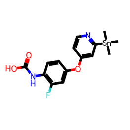 [CH3][Sn]([CH3])([CH3])[c]1cc(Oc2ccc(NC(=O)O)c(F)c2)ccn1